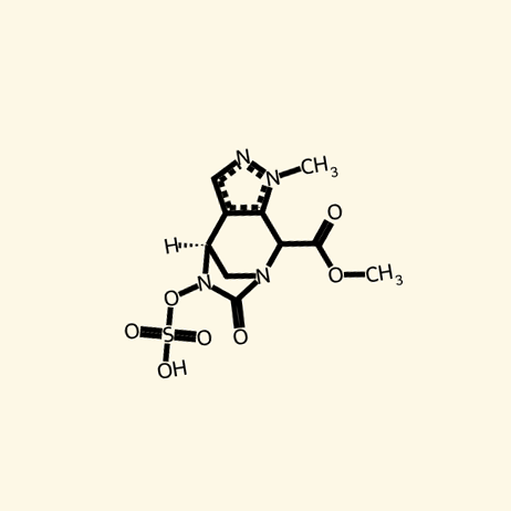 COC(=O)C1c2c(cnn2C)[C@H]2CN1C(=O)N2OS(=O)(=O)O